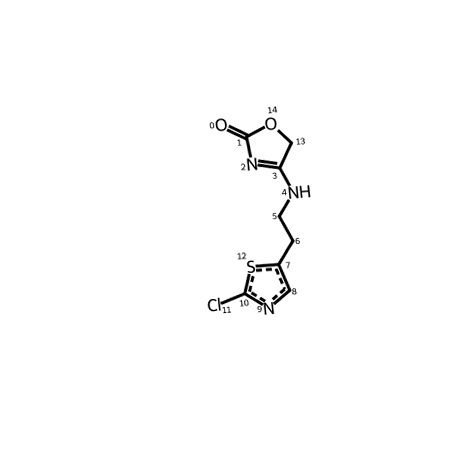 O=C1N=C(NCCc2cnc(Cl)s2)CO1